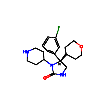 O=C1NC[C@](c2cccc(F)c2)(C2CCOCC2)N1C1CCNCC1